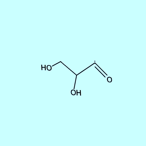 O=[C]C(O)CO